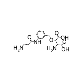 NCCC(=O)Nc1cccc(CO[C@H](C(=O)O)[C@H](N)C(=O)O)c1